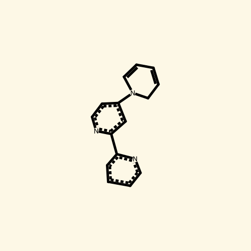 C1=CCN(c2ccnc(-c3ccccn3)c2)C=C1